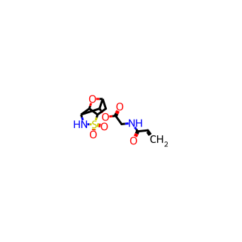 C=CC(=O)NCC(=O)OC1C2CC3C(O2)C1NS3(=O)=O